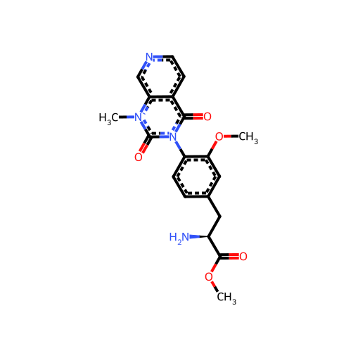 COC(=O)[C@@H](N)Cc1ccc(-n2c(=O)c3ccncc3n(C)c2=O)c(OC)c1